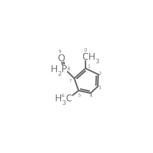 Cc1cccc(C)c1[PH2]=O